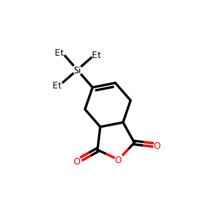 CC[Si](CC)(CC)C1=CCC2C(=O)OC(=O)C2C1